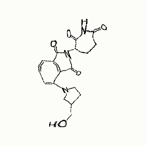 O=C1CCC(N2C(=O)c3cccc(N4CCC(CO)C4)c3C2=O)C(=O)N1